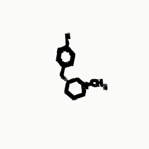 CN1CCC[C@H](Cc2ccc(F)cc2)C1